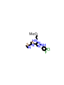 COCCCNc1nc(Nc2ccc(F)c(Cl)c2)ncc1-c1nc(-c2nccs2)cs1